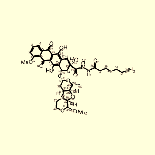 COc1cccc2c1C(=O)c1c(O)c3c(c(O)c1C2=O)C[C@@](O)(C(=O)NNC(=O)CCSCCN)C[C@@H]3O[C@H]1C[C@H]2[C@H](O[C@@H]3[C@@H](OC)OCCN32)[C@H](C)O1